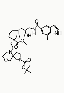 COC(=O)[C@@]1(CCN2CCOCC23CCN(C(=O)OC(C)(C)C)C3)CCC[C@H](CC(O)CNC(=O)c2cc(C)c3[nH]ccc3c2)O1